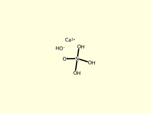 [Ca+2].[O-][Si](O)(O)O.[OH-]